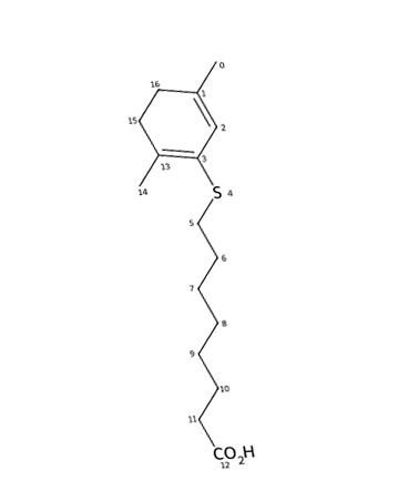 CC1=CC(SCCCCCCCC(=O)O)=C(C)CC1